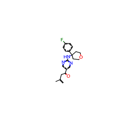 C=C(C)CC(=O)c1cnc(NC2(c3ccc(F)cc3)CCOCC2)nc1